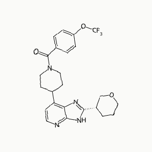 O=C(c1ccc(OC(F)(F)F)cc1)N1CCC(c2ccnc3[nH]c([C@H]4CCCOC4)nc23)CC1